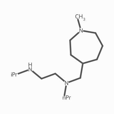 CCCN(CCNC(C)C)CC1CCCN(C)CC1